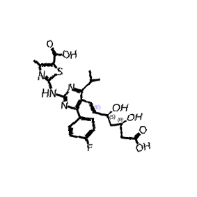 Cc1nc(Nc2nc(-c3ccc(F)cc3)c(/C=C/[C@@H](O)C[C@@H](O)CC(=O)O)c(C(C)C)n2)sc1C(=O)O